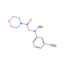 C#Cc1cccc(N(CC(=O)N2CCOCC2)C(C)(C)C)c1